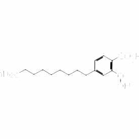 CCCCCCCCCCCCCCCCCCc1ccc(C(=O)O)c(OO)c1